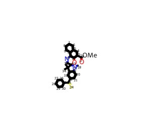 COC(=O)c1cc2ccccc2c2c1OC1(C=N2)N(C)c2ccc(C(=S)c3ccccc3)cc2C1(C)C